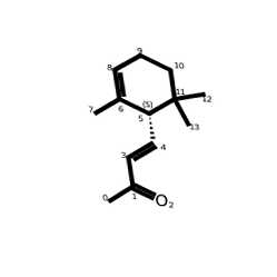 CC(=O)C=C[C@@H]1C(C)=CCCC1(C)C